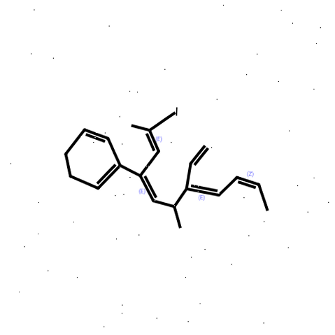 C=C/C(=C\C=C/C)C(C)/C=C(\C=C(/C)I)C1=CCCC=C1